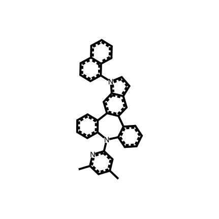 Cc1cc(C)nc(N2c3ccccc3-c3cc4ccn(-c5cccc6ccccc56)c4cc3-c3ccccc32)c1